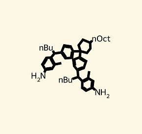 CCCCCCCCC1CCC(c2ccc(C(CCCC)c3ccc(N)cc3C)cc2)(c2ccc(C(CCCC)c3ccc(N)cc3C)cc2)CC1